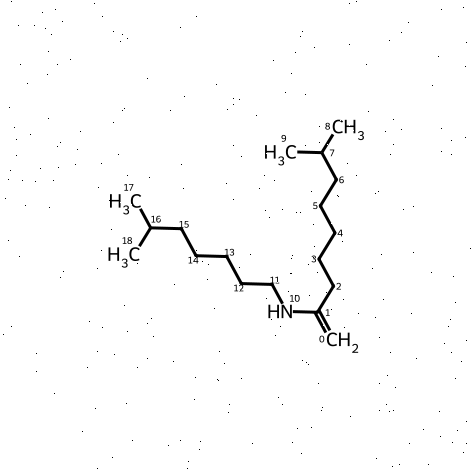 C=C(CCCCCC(C)C)NCCCCCC(C)C